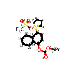 CC(C)OC(=O)Oc1ccc(S2(OS(=O)(=O)C(F)(F)F)CCCC2)c2ccccc12